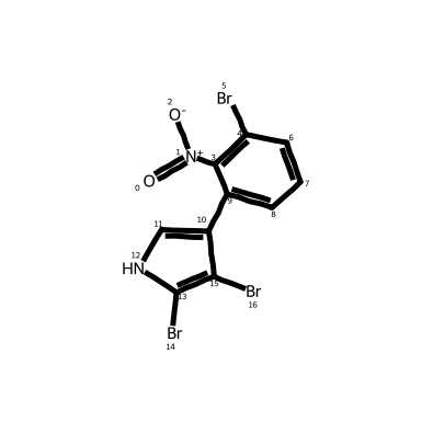 O=[N+]([O-])c1c(Br)cccc1-c1c[nH]c(Br)c1Br